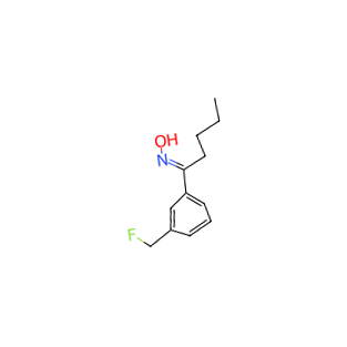 CCCCC(=NO)c1cccc(CF)c1